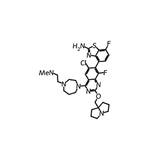 CNCCN1CCCN(c2nc(OCC34CCCN3CCC4)nc3c(F)c(-c4ccc(F)c5sc(N)nc45)c(Cl)cc23)CC1